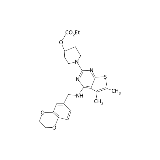 CCOC(=O)OC1CCN(c2nc(NCc3ccc4c(c3)OCCO4)c3c(C)c(C)sc3n2)CC1